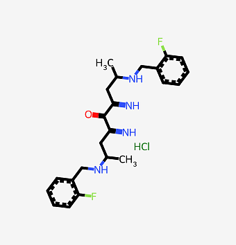 CC(CC(=N)C(=O)C(=N)CC(C)NCc1ccccc1F)NCc1ccccc1F.Cl